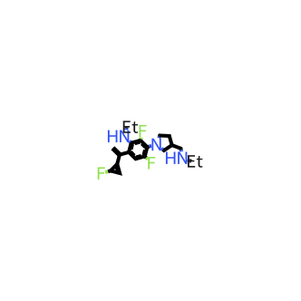 C=C(C1=CC1F)c1cc(F)c(N2CCC(CNCC)C2)c(F)c1NCC